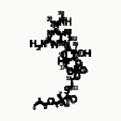 CCCOCC(C)(C)C(=O)SCCOP1(=O)OC[C@H]2O[C@@H](n3cnc4c(N(C)NC)nc(N)nc43)[C@@](C)(O)C2O1